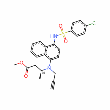 C#CCN(c1ccc(NS(=O)(=O)c2ccc(Cl)cc2)c2ccccc12)[C@@H](C)CC(=O)OC